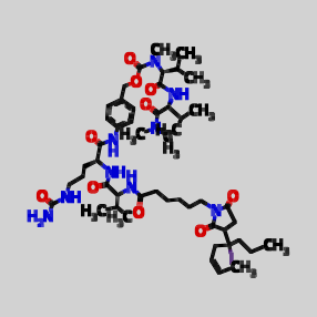 C/C=C\CC(I)(CCC)C1CC(=O)N(CCCCCC(=O)NC(C(=O)N[C@@H](CCCNC(N)=O)C(=O)Nc2ccc(COC(=O)N(C)[C@H](C(=O)N[C@H](C(=O)N(C)C)C(C)C)C(C)C)cc2)C(C)C)C1=O